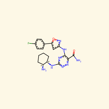 NC(=O)c1nnc(N[C@@H]2CCCC[C@@H]2N)nc1Nc1cc(-c2ccc(F)cc2)on1